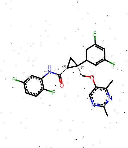 Cc1ncc(OC[C@@]2(C3C=C(F)C=C(F)C3)C[C@H]2C(=O)Nc2cc(F)ccc2F)c(C)n1